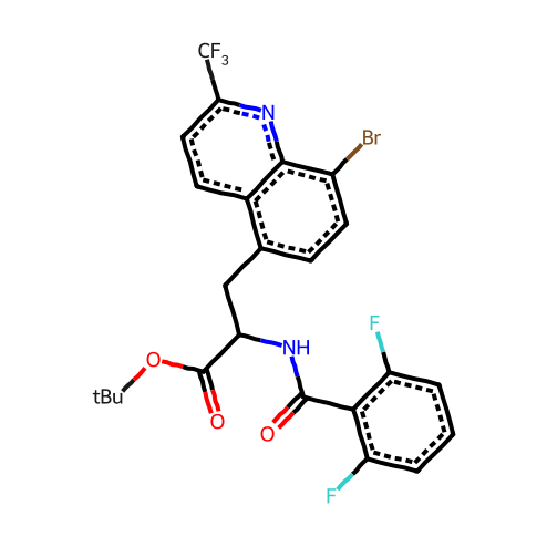 CC(C)(C)OC(=O)C(Cc1ccc(Br)c2nc(C(F)(F)F)ccc12)NC(=O)c1c(F)cccc1F